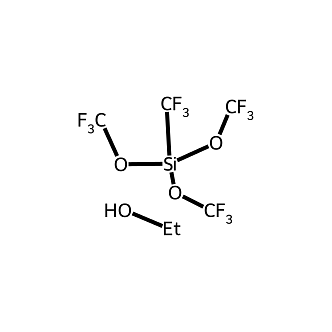 CCO.FC(F)(F)O[Si](OC(F)(F)F)(OC(F)(F)F)C(F)(F)F